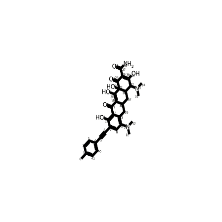 Cc1ccc(C#Cc2cc(N(C)C)c3c(c2O)C(=O)C2=C(O)C4(O)C(=O)C(C(N)=O)=C(O)C(N(C)C)C4CC2C3)cc1